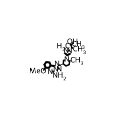 COc1cccc2c1nc(N)n1nc([C@@H]3CC[C@H](C)N(c4cnn(C(C)C(C)(C)O)c4)C3)nc21